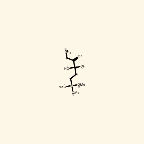 CO[Si](CCC(O)(O)C(=O)CN)(OC)OC